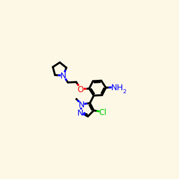 Cn1ncc(Cl)c1-c1cc(N)ccc1OCCN1CCCC1